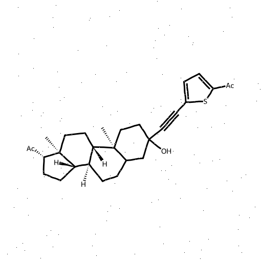 CC(=O)c1ccc(C#CC2(O)CC[C@@]3(C)C(CC[C@H]4[C@@H]5CC[C@H](C(C)=O)[C@@]5(C)CC[C@@H]43)C2)s1